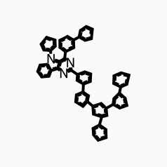 c1ccc(-c2cccc(-c3cc(-c4ccccc4)cc(-c4cccc(-c5cccc(-c6nc(-c7cccc(-c8ccccc8)c7)c7c(n6)c6ccccc6n7-c6ccccc6)c5)c4)c3)c2)cc1